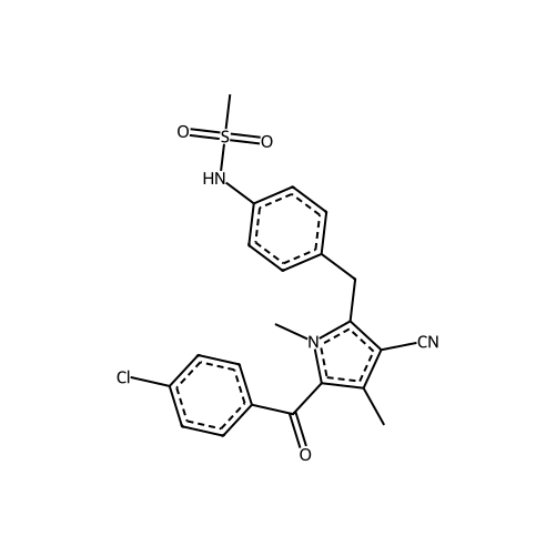 Cc1c(C#N)c(Cc2ccc(NS(C)(=O)=O)cc2)n(C)c1C(=O)c1ccc(Cl)cc1